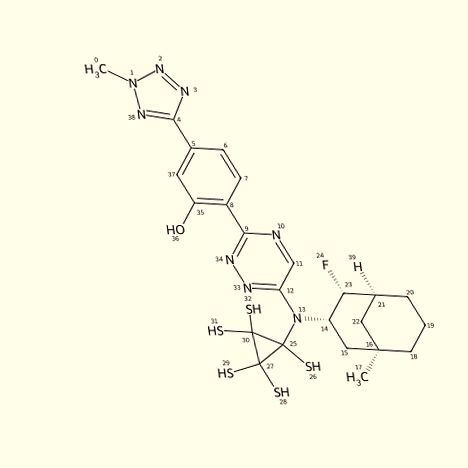 Cn1nnc(-c2ccc(-c3ncc(N([C@H]4C[C@]5(C)CCC[C@@H](C5)[C@H]4F)C4(S)C(S)(S)C4(S)S)nn3)c(O)c2)n1